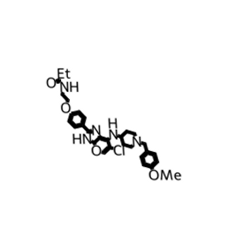 CCC(=O)NCCOc1ccc(C2=NC3=C(NC4CCN(Cc5ccc(OC)cc5)CC4)C(Cl)=COC3N2)cc1